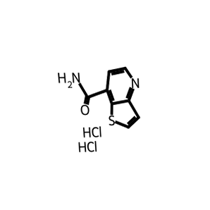 Cl.Cl.NC(=O)c1ccnc2ccsc12